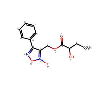 O=C(O)CC(O)C(=O)OCc1c(-c2ccccc2)no[n+]1[O-]